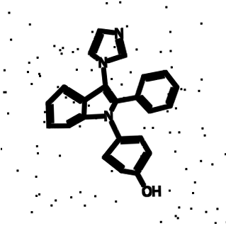 Oc1ccc(-n2c(-c3ccccc3)c(-n3ccnc3)c3ccccc32)cc1